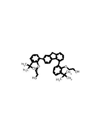 CC(C)(C)c1cccc(-c2ccc3c(c2)Cc2cccc(-c4cccc(C(C)(C)C)c4OCCO)c2-3)c1OCCO